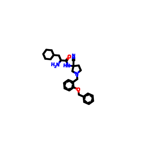 N#CC1(NC(=O)C(N)CC2CCCCC2)CCN(Cc2ccccc2OCc2ccccc2)C1